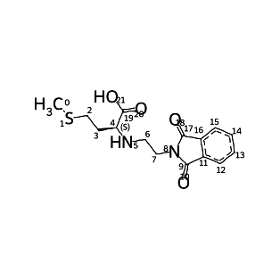 CSCC[C@H](NCCN1C(=O)c2ccccc2C1=O)C(=O)O